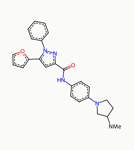 CNC1CCN(c2ccc(NC(=O)c3cc(-c4ccco4)n(-c4ccccc4)n3)cc2)C1